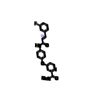 CNC(=O)c1cc(Oc2ccc(NC(=O)/C=C/c3cccc(F)c3)cc2)ccn1